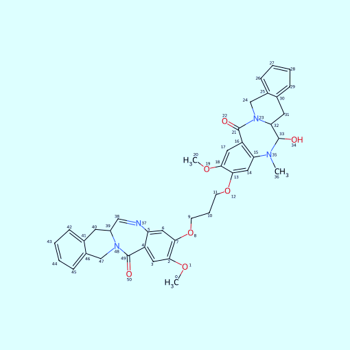 COc1cc2c(cc1OCCCOc1cc3c(cc1OC)C(=O)N1Cc4ccccc4CC1C(O)N3C)N=CC1Cc3ccccc3CN1C2=O